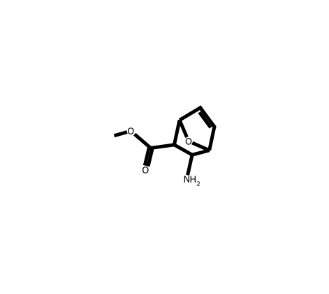 COC(=O)C1C2C=CC(O2)C1N